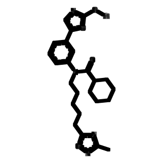 CCOc1ncc(-c2cccc(N(CCCCCc3nc(C)no3)C(=O)C3CCCCC3)c2)o1